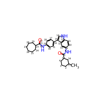 CC1CCCC(C(=O)Nc2ccc3[nH]cc(-c4ccc(NC(=O)C5CCCCCC5)cc4)c3c2)C1